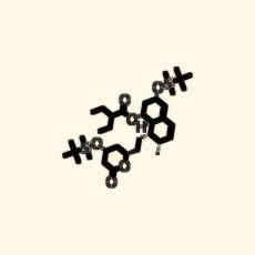 CCC(CC)C(=O)O[C@@H]1C[C@H](O[Si](C)(C)C(C)(C)C)C=C2C=C[C@H](C)[C@H](CC[C@@H]3C[C@@H](O[Si](C)(C)C(C)(C)C)CC(=O)O3)[C@H]21